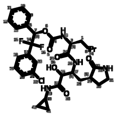 CC(C)C[C@H](NC(=O)O[C@H](c1ccccc1)C(F)(F)c1cccc(Cl)c1)C(=O)N[C@@H](C[C@@H]1CCNC1=O)C(O)C(=O)NC1CC1